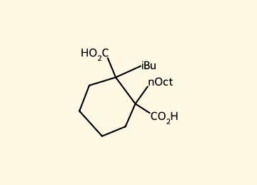 CCCCCCCCC1(C(=O)O)CCCCC1(C(=O)O)C(C)CC